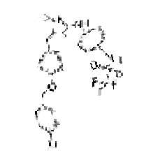 COc1ccc(COc2ccc(/C=C3\SC(Nc4ccc(NS(=O)(=O)C(F)(F)F)cc4)=NC3=O)cc2)cc1